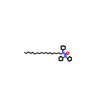 CCCCCCCCCCCCCCCCCCN(C(=O)N(c1ccccc1)c1ccccc1)c1ccccc1